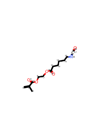 C=C(C)C(=O)OCCOC(=O)CCCCCN=C=O